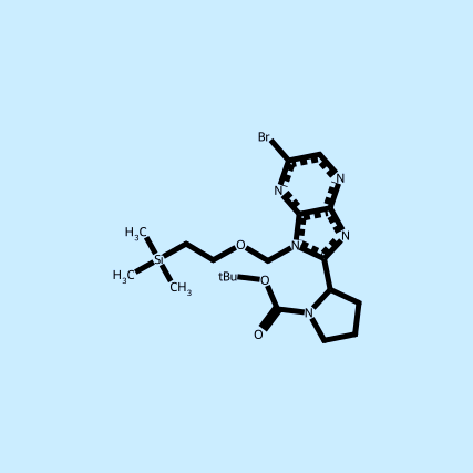 CC(C)(C)OC(=O)N1CCCC1c1nc2ncc(Br)nc2n1COCC[Si](C)(C)C